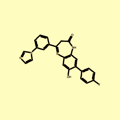 O=C1CC(c2cccc(-n3ccnc3)c2)=Nc2cc(O)c(-c3ccc(F)cc3)cc2N1